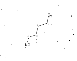 CC(C)CCCCN=O